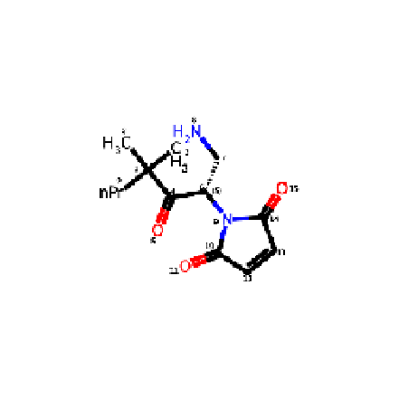 CCCC(C)(C)C(=O)[C@H](CN)N1C(=O)C=CC1=O